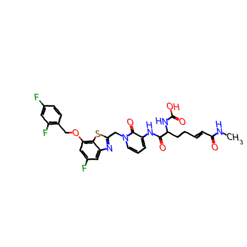 CNC(=O)C=CCCC(NC(=O)O)C(=O)Nc1cccn(Cc2nc3cc(F)cc(OCc4ccc(F)cc4F)c3s2)c1=O